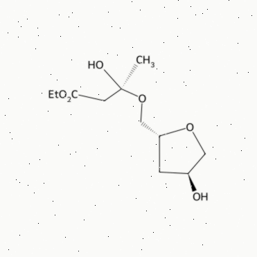 CCOC(=O)C[C@@](C)(O)OC[C@H]1C[C@H](O)CO1